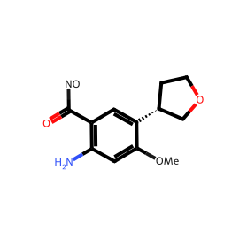 COc1cc(N)c(C(=O)N=O)cc1[C@@H]1CCOC1